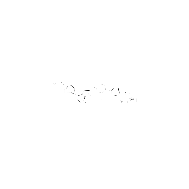 [2H]C([2H])([2H])N(C(=O)c1ccc(C2CCN(Cc3cc4c(-c5ccc(NC)nc5)ccnc4n3C)CC2)cc1)C([2H])([2H])[2H]